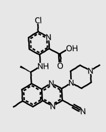 Cc1cc([C@@H](C)Nc2ccc(Cl)nc2C(=O)O)c2nc(N3CCN(C)CC3)c(C#N)nc2c1